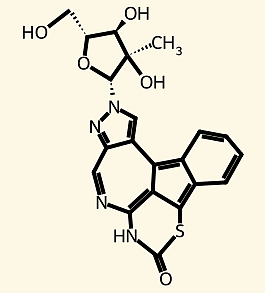 C[C@@]1(O)[C@H](O)[C@@H](CO)O[C@H]1n1cc2c(cnc3[nH]c(=O)sc4c5ccccc5c2c34)n1